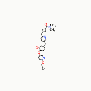 CN(C)C(=O)C1CC(Cc2ccc(CC3=CC(=O)[C@H](Oc4ccc(OCC5CC5)nc4)CC3)cn2)C1